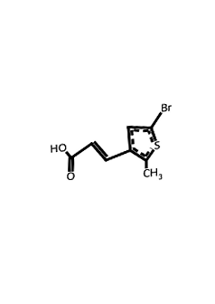 Cc1sc(Br)cc1C=CC(=O)O